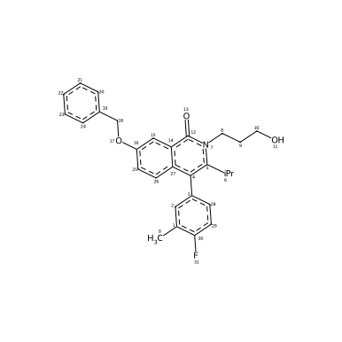 Cc1cc(-c2c(C(C)C)n(CCCO)c(=O)c3cc(OCc4ccccc4)ccc23)ccc1F